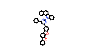 c1ccc(-c2cc(-c3ccc4oc5c(ccc6c7ccccc7oc65)c4c3)nc(-n3c4ccccc4c4ccc5ccccc5c43)n2)cc1